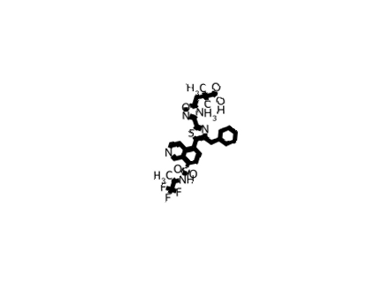 CC(NS(=O)(=O)c1ccc(-c2sc(-c3noc(CC(C)(C)C(=O)O)n3)nc2CC2CCCCC2)c2ccncc12)C(F)(F)F